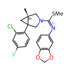 CS/C(=N/c1ccc2c(c1)OCO2)N1CC2(c3ccc(F)cc3Cl)C[C@]2(C)C1